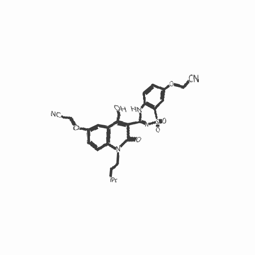 CC(C)CCn1c(=O)c(C2=NS(=O)(=O)c3cc(OCC#N)ccc3N2)c(O)c2cc(OCC#N)ccc21